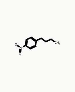 CCCCc1[c]cc([N+](=O)[O-])cc1